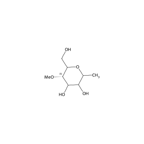 CO[C@@H]1C(CO)OC(C)C(O)C1O